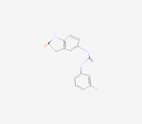 C=C(Nc1cccc(Br)c1)Nc1ccc2c(c1)CC(=O)N2